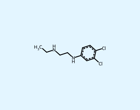 CCNCCNc1ccc(Cl)c(Cl)c1